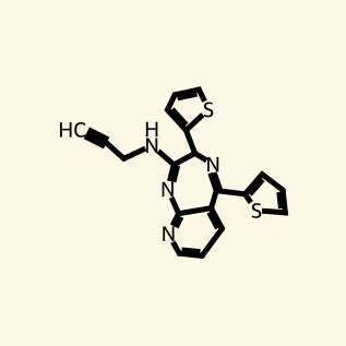 C#CCNC1=Nc2ncccc2C(c2cccs2)=NC1c1cccs1